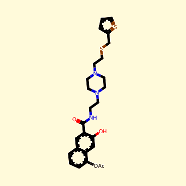 CC(=O)Oc1cccc2cc(C(=O)NCCN3CCN(CCSCc4cccs4)CC3)c(O)cc12